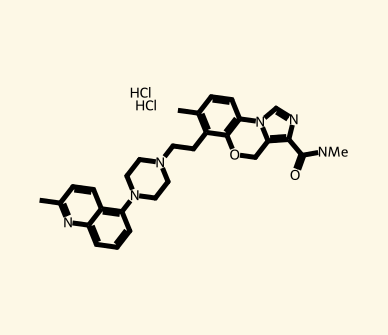 CNC(=O)c1ncn2c1COc1c-2ccc(C)c1CCN1CCN(c2cccc3nc(C)ccc23)CC1.Cl.Cl